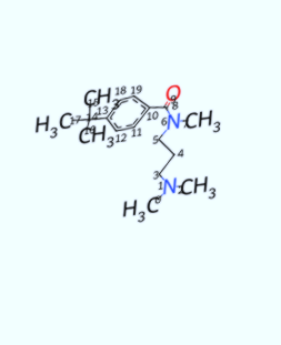 CN(C)CCCN(C)C(=O)c1ccc(C(C)(C)C)cc1